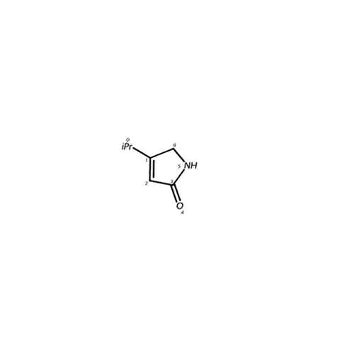 CC(C)C1=CC(=O)NC1